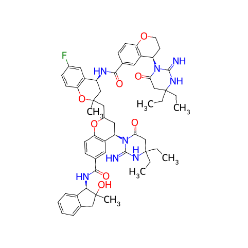 CCC1(CC)CC(=O)N([C@@H]2CCOc3ccc(C(=O)N[C@H]4CC(C)(CC5C[C@@H](N6C(=N)NC(CC)(CC)CC6=O)c6cc(C(=O)N[C@@H]7c8ccccc8CC7(C)O)ccc6O5)Oc5ccc(F)cc54)cc32)C(=N)N1